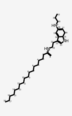 C=C(CCCCCCCCCCCCCCCCC)NCCC1=CNC2CC=C(NCCC)C=C12